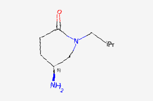 CC(C)CN1C[C@@H](N)CCC1=O